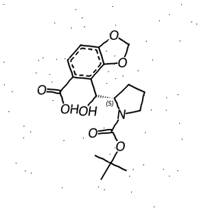 CC(C)(C)OC(=O)N1CCC[C@H]1C(O)c1c(C(=O)O)ccc2c1OCO2